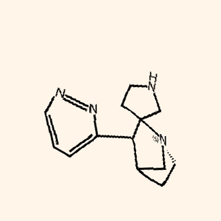 c1cnnc(C2C3CC[N@](C3)C23CCNC3)c1